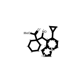 COC(=O)C1(C(N=O)c2c(C3CC3)ccn3cncc23)CCCCC1